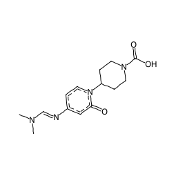 CN(C)/C=N/c1ccn(C2CCN(C(=O)O)CC2)c(=O)c1